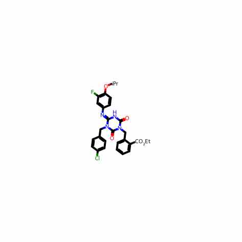 CCOC(=O)c1ccccc1Cn1c(=O)[nH]/c(=N\c2ccc(OC(C)C)c(F)c2)n(Cc2ccc(Cl)cc2)c1=O